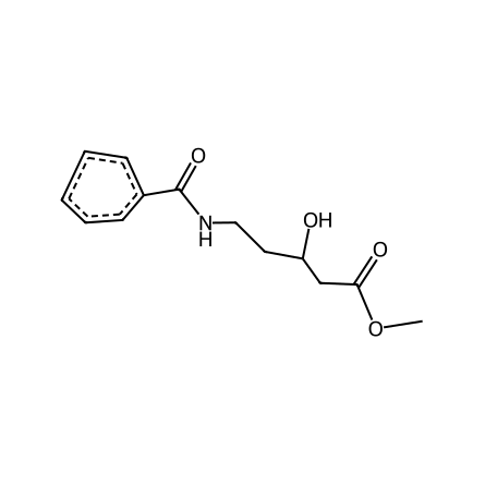 COC(=O)CC(O)CCNC(=O)c1ccccc1